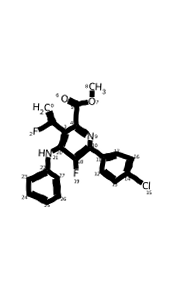 C=C(F)c1c(C(=O)OC)nc(-c2ccc(Cl)cc2)c(F)c1Nc1ccccc1